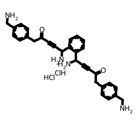 Cl.Cl.NCc1ccc(CC(=O)C#CC(N)c2ccccc2C(N)C#CC(=O)Cc2ccc(CN)cc2)cc1